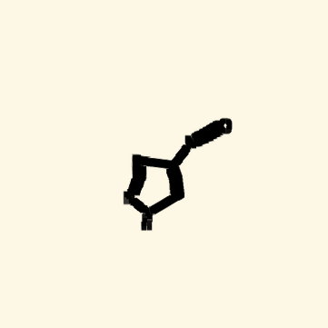 O=Nc1cn[nH]c1